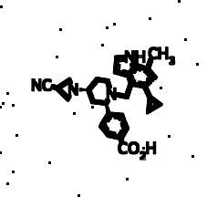 Cc1cc(C2CC2)c(CN2CC[C@@H](N3CC(C#N)C3)C[C@@H]2c2ccc(C(=O)O)cc2)c2cc[nH]c12